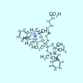 CC1(C)CC(C(CCCCCCCC(=O)O)(C(=O)O)C2CC(C)(C)N(Cc3ccccc3)C(C)(C)C2)CC(C)(C)N1Cc1ccccc1